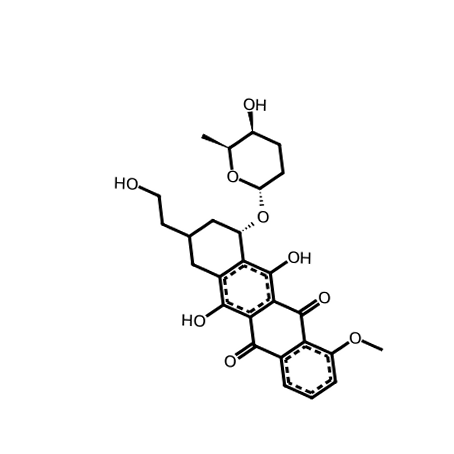 COc1cccc2c1C(=O)c1c(O)c3c(c(O)c1C2=O)CC(CCO)C[C@@H]3O[C@H]1CC[C@H](O)[C@H](C)O1